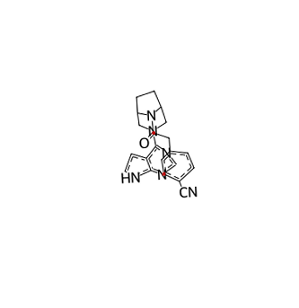 N#Cc1ccc(CC(=O)N2C3CCC2CN(c2ncnc4[nH]ccc24)C3)cc1